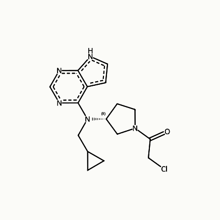 O=C(CCl)N1CC[C@@H](N(CC2CC2)c2ncnc3[nH]ccc23)C1